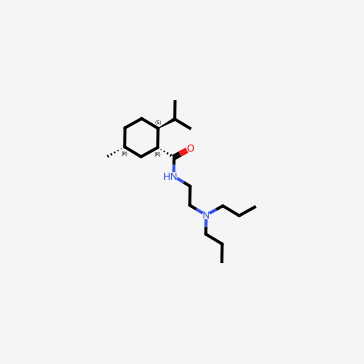 CCCN(CCC)CCNC(=O)[C@@H]1C[C@H](C)CC[C@H]1C(C)C